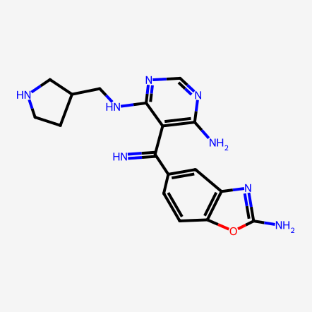 N=C(c1ccc2oc(N)nc2c1)c1c(N)ncnc1NCC1CCNC1